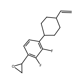 C=CC1CCC(c2ccc(C3CO3)c(F)c2F)CC1